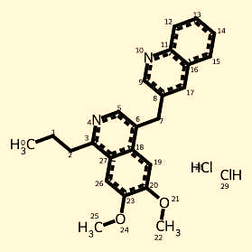 CCCc1ncc(Cc2cnc3ccccc3c2)c2cc(OC)c(OC)cc12.Cl.Cl